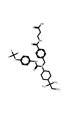 CCC(C)(C)C1CCC(N(Cc2ccc(C(=O)NCCC(=O)O)cc2)C(=O)Nc2ccc(OC(F)(F)F)cc2)CC1